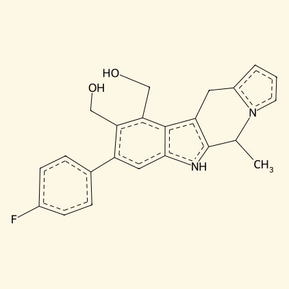 CC1c2[nH]c3cc(-c4ccc(F)cc4)c(CO)c(CO)c3c2Cc2cccn21